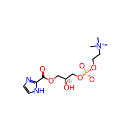 C[N+](C)(C)CCOP(=O)([O-])OC[C@@H](O)COC(=O)c1ncc[nH]1